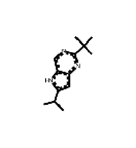 CC(C)c1cc2nc(C(C)(C)C)ncc2[nH]1